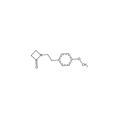 COc1ccc(CCN2CCC2=O)cc1